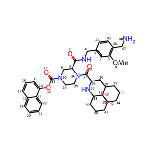 COc1cc(CNC(=O)[C@@H]2CN(C(=O)Oc3cccc4ccccc34)CCN2C(=O)[C@@H](CC2CCCCC2)NC2CCCCC2)ccc1CN